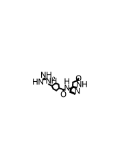 N=C(N)NCC1CCC(C(=O)Nc2ccnc3c2CC(=O)N3)CC1